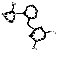 O=[N+]([O-])c1cc(Cc2ccccc2-n2nnnc2S)cc([N+](=O)[O-])c1